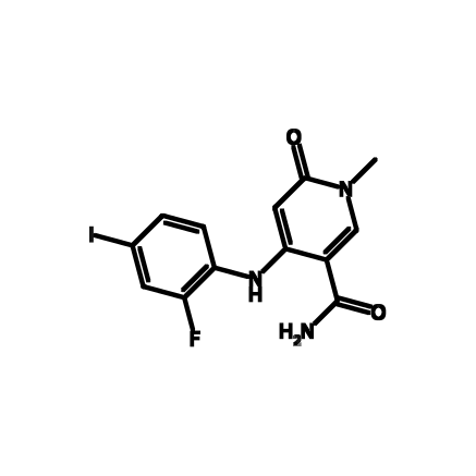 Cn1cc(C(N)=O)c(Nc2ccc(I)cc2F)cc1=O